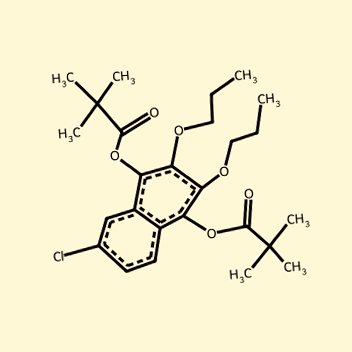 CCCOc1c(OCCC)c(OC(=O)C(C)(C)C)c2cc(Cl)ccc2c1OC(=O)C(C)(C)C